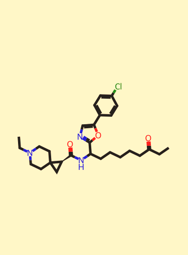 CCC(=O)CCCCCC(NC(=O)[C@H]1CC12CCN(CC)CC2)c1ncc(-c2ccc(Cl)cc2)o1